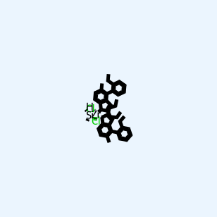 CCCC1=Cc2c(ccc(C)c2-c2ccccc2CC)[CH]1[Zr]([Cl])([Cl])([CH]1C(CCC)=Cc2c1ccc(C)c2-c1ccccc1CC)[SiH](C)C